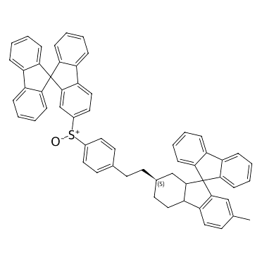 Cc1ccc2c(c1)C1(c3ccccc3-c3ccccc31)C1C[C@H](CCc3ccc([S+]([O-])c4ccc5c(c4)C4(c6ccccc6-c6ccccc64)c4ccccc4-5)cc3)CCC21